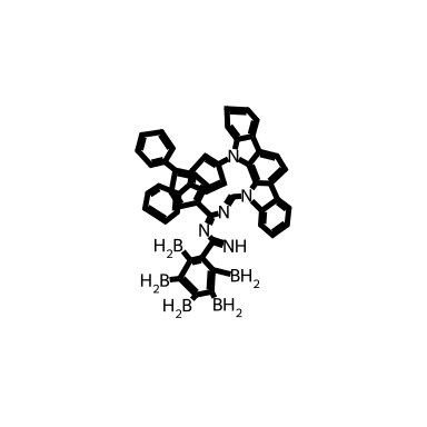 Bc1c(B)c(B)c(C(=N)/N=C(\N=C\n2c3ccccc3c3ccc4c5ccccc5n(-c5ccc(-c6ccccc6)cc5)c4c32)c2ccc(-c3ccccc3)cc2)c(B)c1B